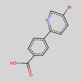 O=C(O)c1ccc(-c2ccc(Br)cn2)cc1